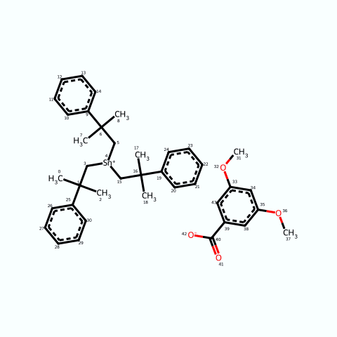 CC(C)([CH2][Sn+]([CH2]C(C)(C)c1ccccc1)[CH2]C(C)(C)c1ccccc1)c1ccccc1.COc1cc(OC)cc(C(=O)[O-])c1